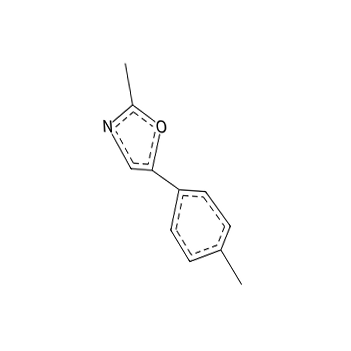 Cc1ccc(-c2cnc(C)o2)cc1